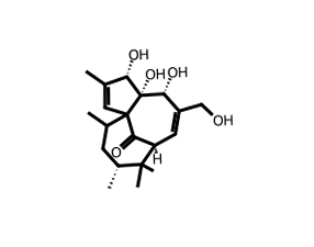 CC1=CC23C(=O)[C@@H](C=C(CO)[C@@H](O)[C@]2(O)[C@H]1O)C(C)(C)[C@H](C)CC3C